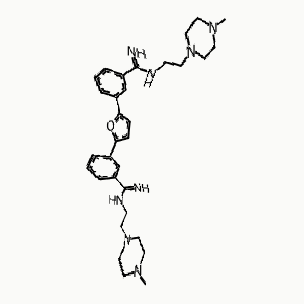 CN1CCN(CCNC(=N)c2cccc(-c3ccc(-c4cccc(C(=N)NCCN5CCN(C)CC5)c4)o3)c2)CC1